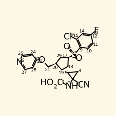 N#CC1(NC(=O)O)CC1.O=S(=O)(c1ccc(F)cc1Cl)[C@H]1CC[C@@H](COc2ccncc2)C1